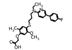 CCN(CCCSc1cc(C)c(OCC(=O)O)cc1OC)c1ccc(-c2ccc(F)cc2)cn1